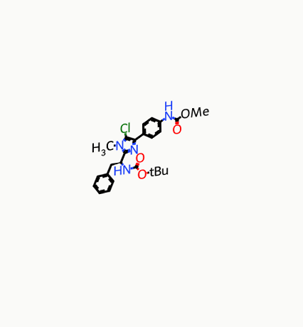 COC(=O)Nc1ccc(-c2nc([C@H](Cc3ccccc3)NC(=O)OC(C)(C)C)n(C)c2Cl)cc1